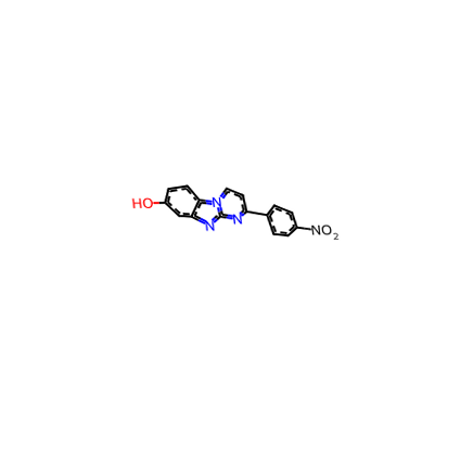 O=[N+]([O-])c1ccc(-c2ccn3c(n2)nc2cc(O)ccc23)cc1